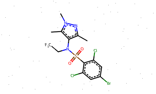 Cc1nn(C)c(C)c1N(CC(F)(F)F)S(=O)(=O)c1c(Cl)cc(Br)cc1Cl